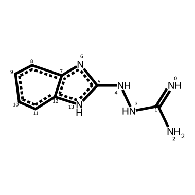 N=C(N)NNc1nc2ccccc2[nH]1